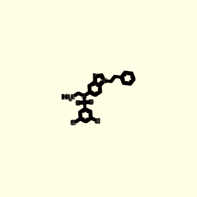 O=C(O)CN(c1ccc2c(c1)ncn2CCc1ccccc1)S(=O)(=O)c1cc(Cl)cc(Cl)c1